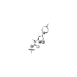 CC1CCN([C@H]2CC[C@@H](N(C)C(=O)OC(C)(C)C)C2)CC1.Cl